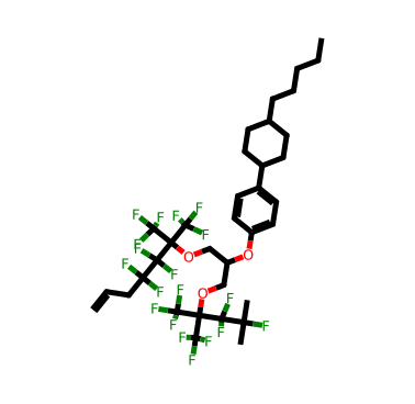 C=CCC(F)(F)C(F)(F)C(OCC(COC(C(F)(F)F)(C(F)(F)F)C(F)(F)C(C)(C)F)Oc1ccc(C2CCC(CCCCC)CC2)cc1)(C(F)(F)F)C(F)(F)F